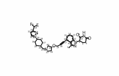 Cc1nn(C2CCC(=O)NC2=O)c2cccc(C#CCO[C@@H]3CCN(CC4CCC(n5ccc(C(F)F)n5)CC4)C3)c12